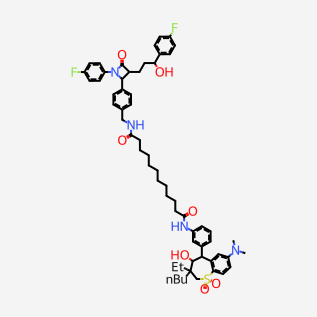 CCCCC1(CC)CS(=O)(=O)c2ccc(N(C)C)cc2C(c2cccc(NC(=O)CCCCCCCCCCC(=O)NCc3ccc(C4C(CCC(O)c5ccc(F)cc5)C(=O)N4c4ccc(F)cc4)cc3)c2)C1O